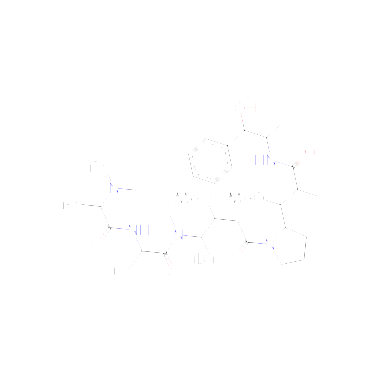 CCC(C)C(C(CC(=O)N1CCCC1C(OC)C(C)C(=O)NC(C)C(O)c1ccccc1)OC)N(C)C(=O)C(NC(=O)C(C(C)C)N(C)C(C)C)C(C)C